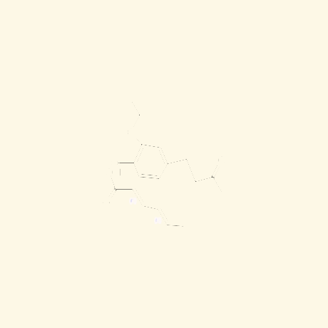 C/C=C/C=C/C(=O)O.CCOc1cc(CCC(C)=O)ccc1O